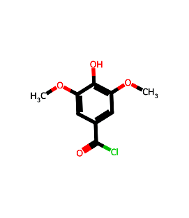 COc1cc(C(=O)Cl)cc(OC)c1O